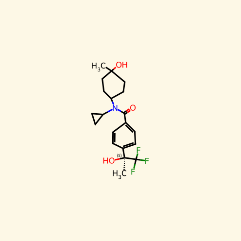 CC1(O)CCC(N(C(=O)c2ccc([C@](C)(O)C(F)(F)F)cc2)C2CC2)CC1